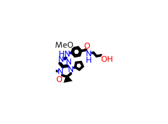 COc1cc(C(=O)NCCCO)ccc1Nc1ncc2c(n1)N(C1CCCC1)CC1(CC1)C(=O)N2C